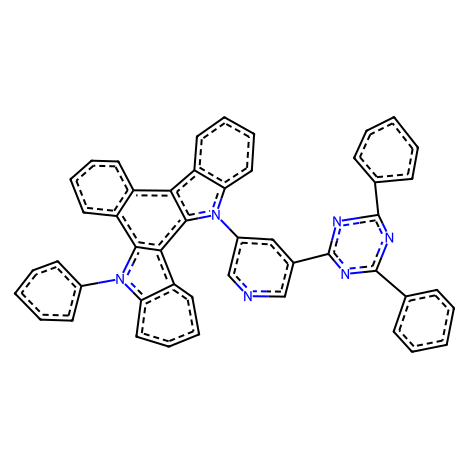 c1ccc(-c2nc(-c3ccccc3)nc(-c3cncc(-n4c5ccccc5c5c6ccccc6c6c(c7ccccc7n6-c6ccccc6)c54)c3)n2)cc1